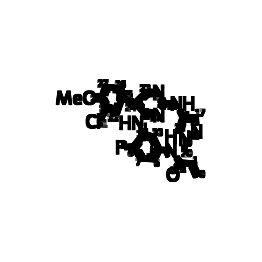 C=CC(=O)Nc1ccc(F)c(Nc2nc(Nc3cnn(C)c3)ncc2-c2ccc(OC)c(Cl)c2)c1